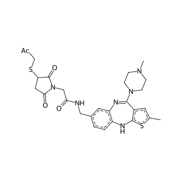 CC(=O)CSC1CC(=O)N(CC(=O)NCc2ccc3c(c2)N=C(N2CCN(C)CC2)c2cc(C)sc2N3)C1=O